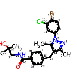 Cc1nn(-c2ccc(Br)c(Cl)c2)c(C)c1Cc1ccc(C(=O)NCC(C)(C)O)cc1